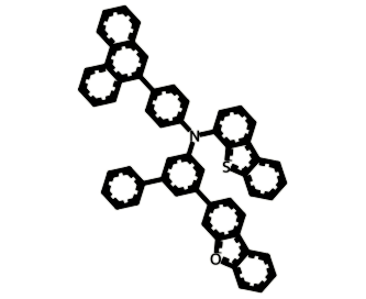 c1ccc(-c2cc(-c3ccc4c(c3)oc3ccccc34)cc(N(c3ccc(-c4cc5ccccc5c5ccccc45)cc3)c3cccc4c3sc3ccccc34)c2)cc1